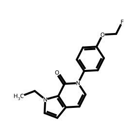 CCn1ccc2ccn(-c3ccc(OCF)cc3)c(=O)c21